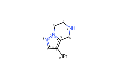 CC(C)c1cnn2c1CNCC2